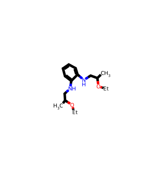 CCOC(C)CNc1ccccc1NCC(C)OCC